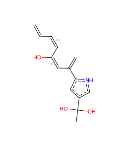 C=C/C=C\C(O)=C/C(=C)c1cc(C(C)(O)O)c[nH]1